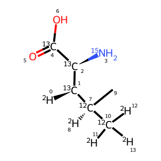 [2H][13C@@H]([13C@H]([15NH2])[13C](=O)O)[12C@@]([2H])(C)[12C]([2H])([2H])[2H]